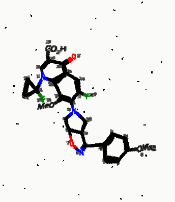 COc1ccc(C2=NOC3CN(c4c(F)cc5c(=O)c(C(=O)O)cn(C6(F)CC6)c5c4OC)CC23)cc1